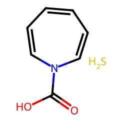 O=C(O)N1C=CC=CC=C1.S